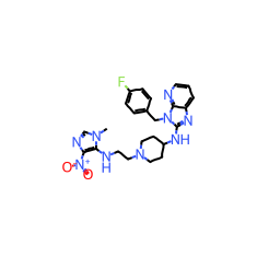 Cn1cnc([N+](=O)[O-])c1NCCN1CCC(Nc2nc3cccnc3n2Cc2ccc(F)cc2)CC1